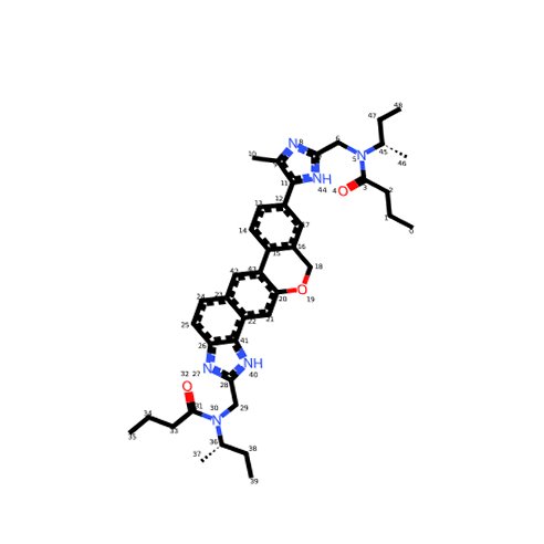 CCCC(=O)N(Cc1nc(C)c(-c2ccc3c(c2)COc2cc4c(ccc5nc(CN(C(=O)CCC)[C@@H](C)CC)[nH]c54)cc2-3)[nH]1)[C@@H](C)CC